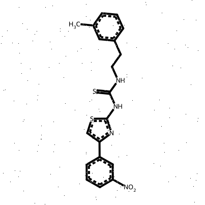 Cc1cccc(CCNC(=S)Nc2nc(-c3cccc([N+](=O)[O-])c3)cs2)c1